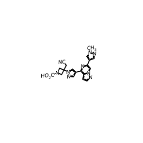 Cn1cc(-c2cn3nccc3c(-c3cnn(C4(CC#N)CN(C(=O)O)C4)c3)n2)cn1